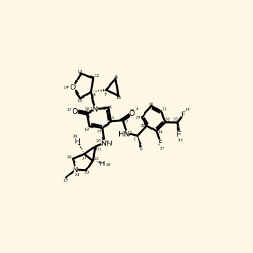 C[C@@H](NC(=O)c1cn([C@]2(C3CC3)CCOC2)c(=O)cc1NC1[C@H]2CN(C)C[C@@H]12)c1cccc(C(F)F)c1F